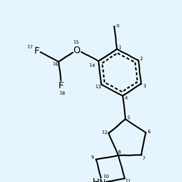 Cc1ccc(C2CCC3(CNC3)C2)cc1OC(F)F